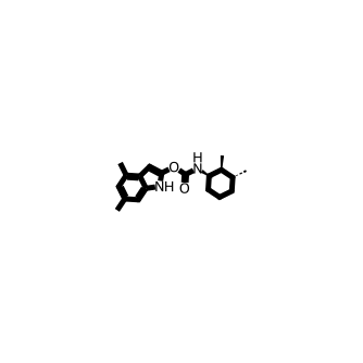 Cc1cc(C)c2cc(OC(=O)N[C@@H]3CCC[C@@H](C)[C@@H]3C)[nH]c2c1